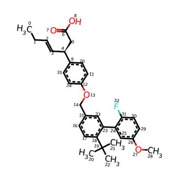 CCC=C[C@@H](CC(=O)O)c1ccc(OCc2ccc(C(C)(C)C)c(-c3cc(OC)ccc3F)c2)cc1